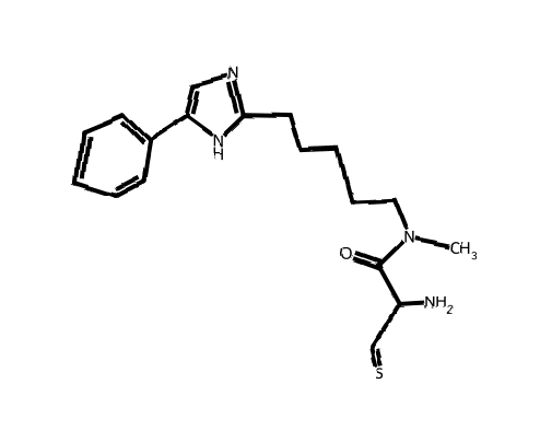 CN(CCCCCc1ncc(-c2ccccc2)[nH]1)C(=O)C(N)C=S